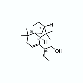 CC[C@H](CO)C1=CCC(C)(C)[C@@]23CC[C@@H](C2)C(C)(C)[C@@H]13